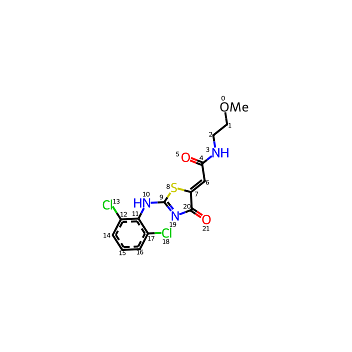 COCCNC(=O)/C=C1\SC(Nc2c(Cl)cccc2Cl)=NC1=O